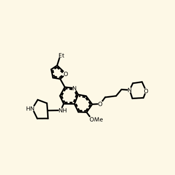 CCc1ccc(-c2cc(NC3CCNCC3)c3cc(OC)c(OCCCN4CCOCC4)cc3n2)o1